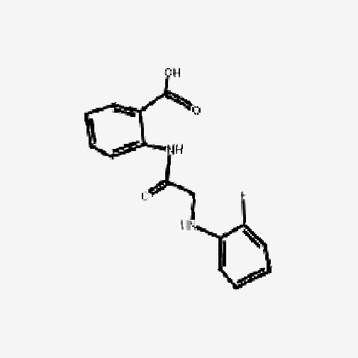 O=C(CNc1ccccc1F)Nc1ccccc1C(=O)O